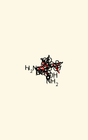 CCCC(=O)Oc1cc(OC(=O)CCC)c2c(c1)OC(c1cc(OC(=O)CCC)c(OC(=O)CCC)c(OC(=O)CCC)c1)[C@H](OC(=O)c1cc(OC(=O)c3ccc(N)cc3O)c(O)c(OC(=O)c3ccc(N)cc3O)c1)C2